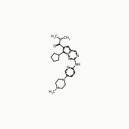 CN1CCN(c2ccc(Nc3ncc4cc(C(=O)N(C)C)c(C5CCCC5)n4n3)nc2)CC1